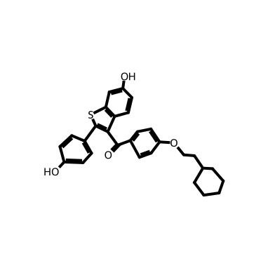 O=C(c1ccc(OCCC2CCCCC2)cc1)c1c(-c2ccc(O)cc2)sc2cc(O)ccc12